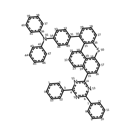 c1ccc(-c2nc(-c3ccccc3)nc(-c3ccc4c5c(cccc35)-c3c(cccc3-c3ccc(N(c5ccccc5)c5ccccc5)cc3)S4)n2)cc1